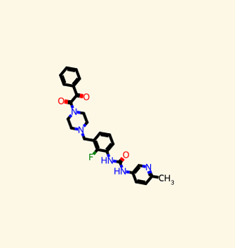 Cc1ccc(NC(=O)Nc2cccc(CN3CCN(C(=O)C(=O)c4ccccc4)CC3)c2F)cn1